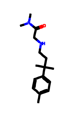 Cc1ccc(C(C)(C)CCNCC(=O)N(C)C)cc1